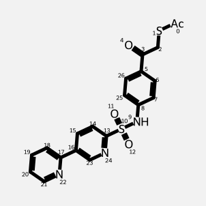 CC(=O)SCC(=O)c1ccc(NS(=O)(=O)c2ccc(-c3ccccn3)cn2)cc1